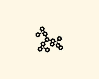 c1ccc(N(c2ccc3ccccc3c2)c2ccc(-c3cc(-c4ccc5c6ccccc6n(-c6ccccc6)c5c4)cc(-c4ccc5c6ccccc6n(-c6ccccc6)c5c4)c3)c3ccccc23)cc1